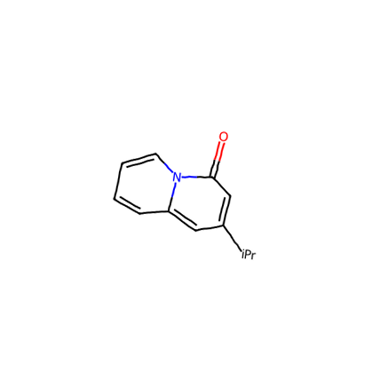 CC(C)c1cc(=O)n2ccccc2c1